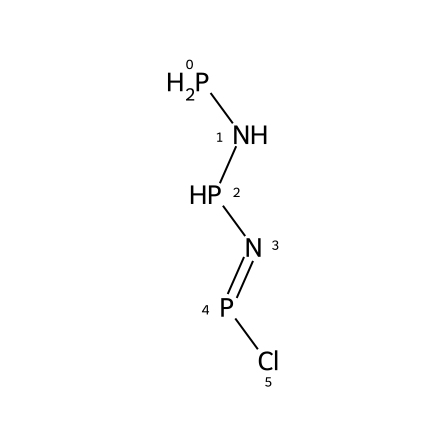 PNP/N=P/Cl